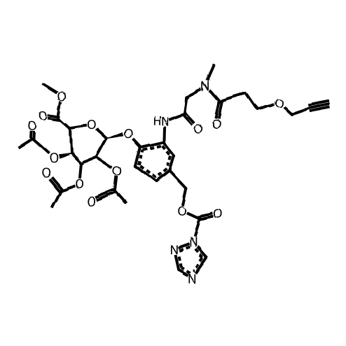 C#CCOCCC(=O)N(C)CC(=O)Nc1cc(COC(=O)n2cncn2)ccc1O[C@@H]1OC(C(=O)OC)[C@H](OC(C)=O)C(OC(C)=O)C1OC(C)=O